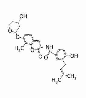 CC(C)=CCc1cc(C(=O)Nc2cc3ccc(O[C@@H]4C[C@@H](O)CCO4)c(C)c3oc2=O)ccc1O